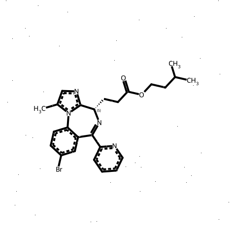 Cc1cnc2n1-c1ccc(Br)cc1C(c1ccccn1)=N[C@H]2CCC(=O)OCCC(C)C